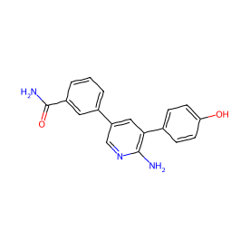 NC(=O)c1cccc(-c2cnc(N)c(-c3ccc(O)cc3)c2)c1